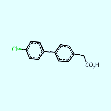 O=C(O)Cc1ccc(-c2ccc(Cl)cc2)cc1